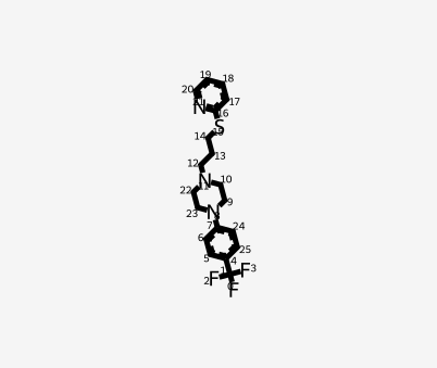 FC(F)(F)c1ccc(N2CCN(CCCSc3ccccn3)CC2)cc1